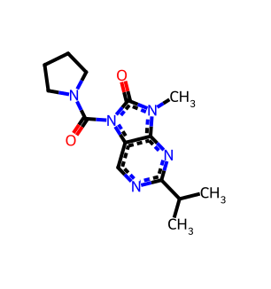 CC(C)c1ncc2c(n1)n(C)c(=O)n2C(=O)N1CCCC1